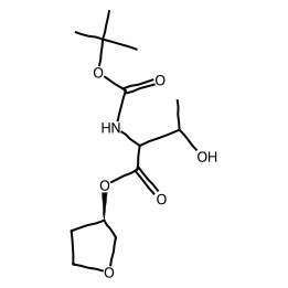 CC(O)C(NC(=O)OC(C)(C)C)C(=O)O[C@@H]1CCOC1